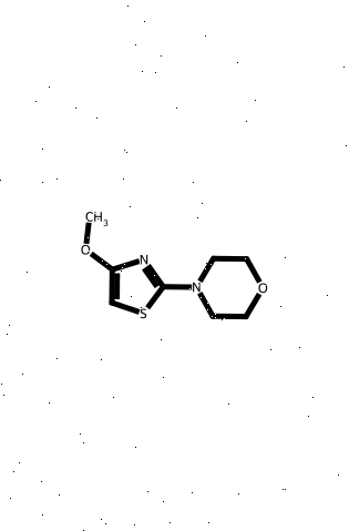 COc1csc(N2CCOCC2)n1